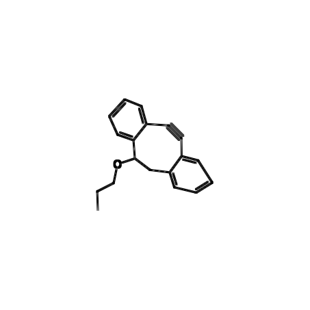 CCCOC1Cc2ccccc2C#Cc2ccccc21